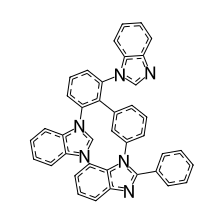 c1ccc(-c2nc3ccccc3n2-c2cccc(-c3c(-n4cnc5ccccc54)cccc3-n3cnc4ccccc43)c2)cc1